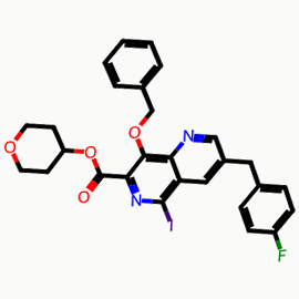 O=C(OC1CCOCC1)c1nc(I)c2cc(Cc3ccc(F)cc3)cnc2c1OCc1ccccc1